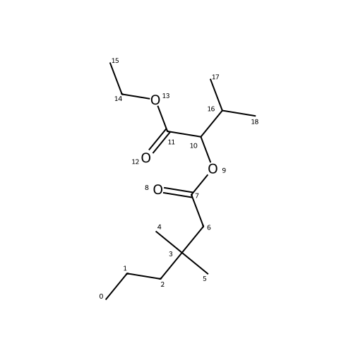 CCCC(C)(C)CC(=O)OC(C(=O)OCC)C(C)C